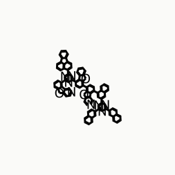 c1ccc2c(c1)-c1cccc3c(-c4nc(-c5cccc6oc7ccncc7c56)nc(-c5ccc(-c6ccc(-c7cc(-c8nc(-c9ccc%10ccccc%10c9)nc(-c9ccc%10ccccc%10c9)n8)cc8ccccc78)c7c6oc6ccncc67)c6oc7ccccc7c56)n4)ccc-2c13